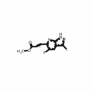 COC(=O)/C=C/c1nc2[nH]nc(I)c2cc1F